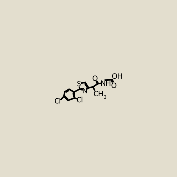 CC(C(=O)NCC(=O)O)c1csc(-c2ccc(Cl)cc2Cl)n1